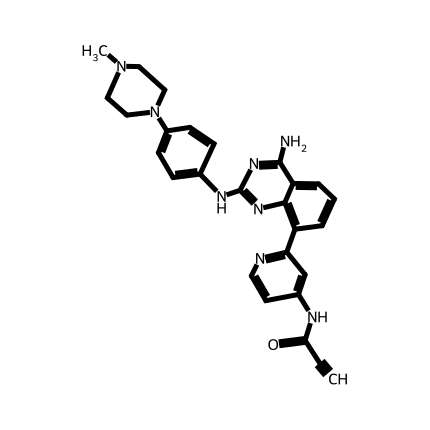 C#CC(=O)Nc1ccnc(-c2cccc3c(N)nc(Nc4ccc(N5CCN(C)CC5)cc4)nc23)c1